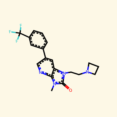 Cn1c(=O)n(CCN2CCC2)c2cc(-c3cccc(C(F)(F)F)c3)cnc21